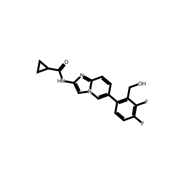 O=C(Nc1cn2cc(-c3ccc(F)c(F)c3CO)ccc2n1)C1CC1